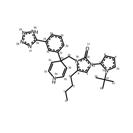 CCCCc1cn(-c2cccn2C(C)(C)C)c(=O)n1CC1(c2cccc(-c3nnn[nH]3)c2)C=CNC=C1